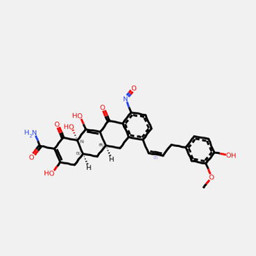 COc1cc(C/C=C\c2ccc(N=O)c3c2C[C@H]2C[C@H]4CC(O)=C(C(N)=O)C(=O)[C@@]4(O)C(O)=C2C3=O)ccc1O